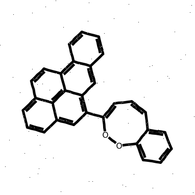 [c]1c2ccccc2c2ccc3cccc4cc(-c5cccc6ccccc6oo5)c1c2c34